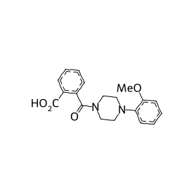 COc1ccccc1N1CCN(C(=O)c2ccccc2C(=O)O)CC1